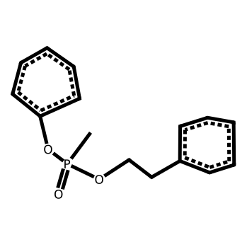 CP(=O)(OCCc1ccccc1)Oc1ccccc1